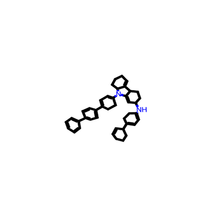 C1=CC(C2=CC=C(NC3C=C4C(CC3)C3=CCCCC3N4C3=CC=C(c4ccc(-c5ccccc5)cc4)CC3)CC2)CCC1